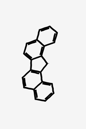 [CH]1c2c(ccc3ccccc23)-c2ccc3ccccc3c21